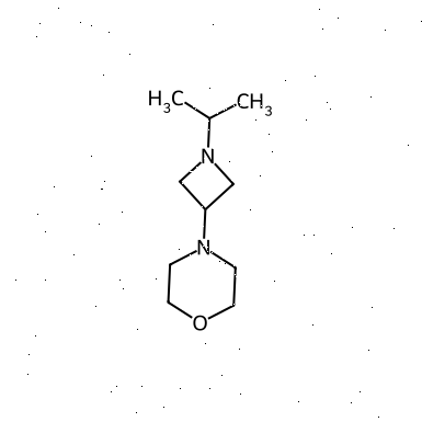 CC(C)N1CC(N2CCOCC2)C1